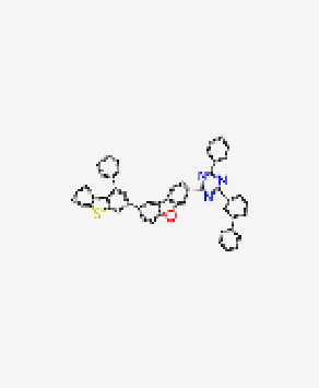 c1ccc(-c2cccc(-c3nc(-c4ccccc4)nc(-c4ccc5c(c4)oc4ccc(-c6cc(-c7ccccc7)c7c(c6)sc6ccccc67)cc45)n3)c2)cc1